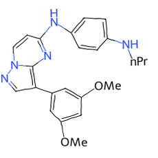 CCCNc1ccc(Nc2ccn3ncc(-c4cc(OC)cc(OC)c4)c3n2)cc1